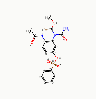 COC(=S)N(C(N)=O)c1cc(OS(=O)(=O)c2ccccc2)ccc1NC(C)=O